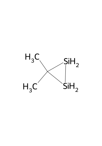 CC1(C)[SiH2][SiH2]1